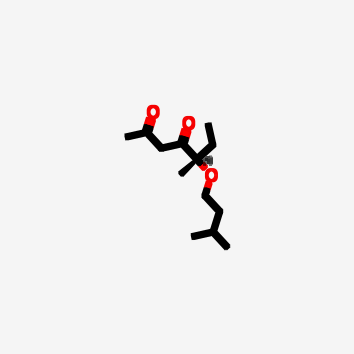 CC[C@](C)(OCCC(C)C)C(=O)CC(C)=O